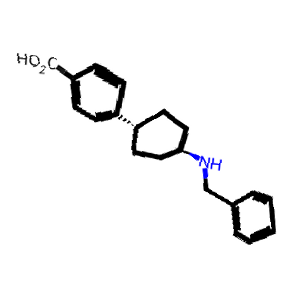 O=C(O)c1ccc([C@H]2CC[C@H](NCc3ccccc3)CC2)cc1